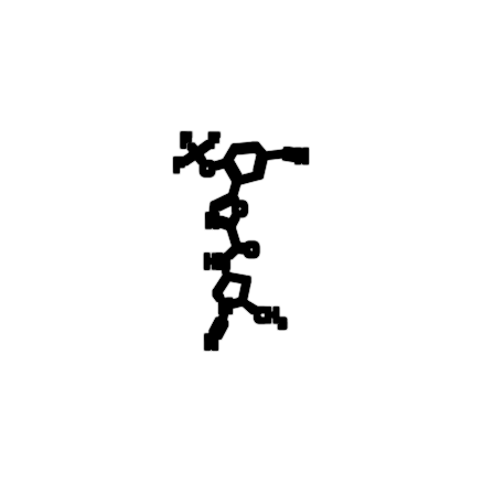 C[C@@H]1C[C@@H](NC(=O)c2ncc(-c3cc(C#N)ccc3OC(F)(F)F)o2)CN1C#N